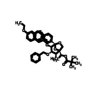 CCOc1ccc(Cc2cc([C@]34OC[C@](C(C)OC(=O)C(C)(C)C)(O3)[C@@H](C)[C@H](OCc3ccccc3)[C@H]4OCc3ccccc3)ccc2Cl)cc1